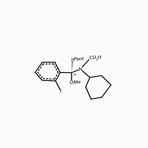 CCCCC[C@](OC)(c1ccccc1I)N(C(=O)O)C1CCCCC1